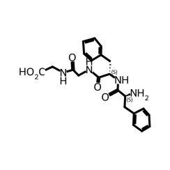 N[C@@H](Cc1ccccc1)C(=O)N[C@@H](Cc1ccccc1)C(=O)NCC(=O)NCC(=O)O